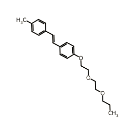 CCCOCCOCCOc1ccc(/C=C/c2ccc(C)cc2)cc1